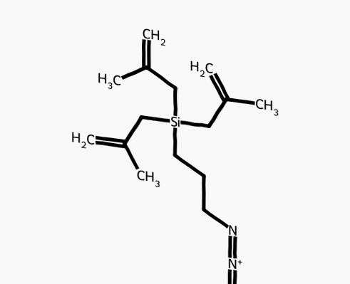 C=C(C)C[Si](CCCN=[N+]=[N-])(CC(=C)C)CC(=C)C